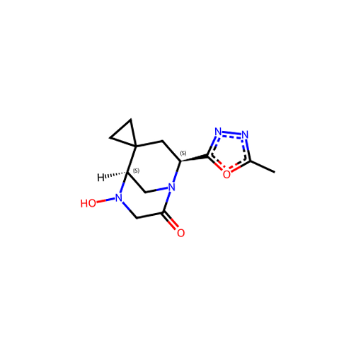 Cc1nnc([C@@H]2CC3(CC3)[C@H]3CN2C(=O)CN3O)o1